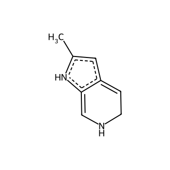 Cc1cc2c([nH]1)=CNCC=2